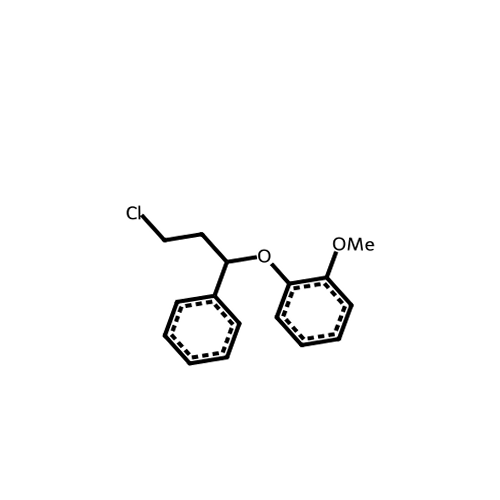 COc1ccccc1OC(CCCl)c1ccccc1